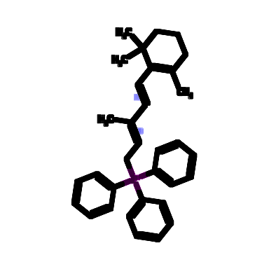 CC1=C(/C=C/C(C)=C/C[P+](c2ccccc2)(c2ccccc2)c2ccccc2)C(C)(C)CCC1